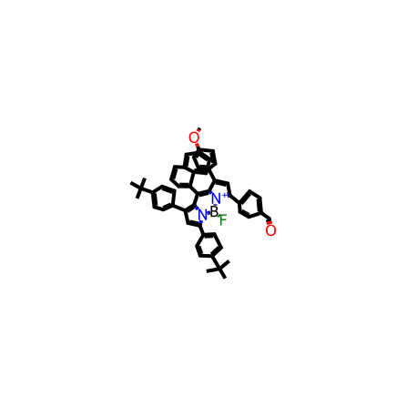 COc1ccc(C2=CC(c3ccc(C=O)cc3)=[N+]3B(F)n4c(-c5ccc(C(C)(C)C)cc5)cc(-c5ccc(C(C)(C)C)cc5)c4C(c4cccc5ccccc45)=C23)cc1